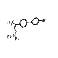 CCN(CC)C/C=C(/C)c1ccc(-c2ccc(Br)cc2)cc1